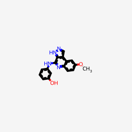 COc1ccc2nc(Nc3cccc(O)c3)c3[nH]ncc3c2c1